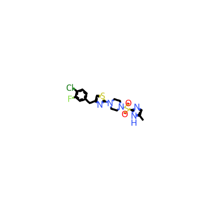 Cc1cnc(S(=O)(=O)N2CCN(c3nc(Cc4ccc(Cl)c(F)c4)cs3)CC2)[nH]1